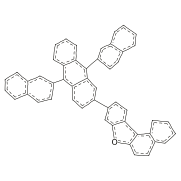 c1ccc2cc(-c3c4ccccc4c(-c4ccc5ccccc5c4)c4cc(-c5ccc6c(c5)oc5ccc7ccccc7c56)ccc34)ccc2c1